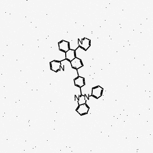 c1ccc(-n2c(-c3ccc(-c4ccc5c(-c6ccccn6)c6ccccc6c(-c6ccccn6)c5c4)cc3)nc3ccccc32)cc1